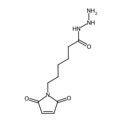 NNNC(=O)CCCCCN1C(=O)C=CC1=O